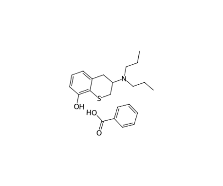 CCCN(CCC)C1CSc2c(O)cccc2C1.O=C(O)c1ccccc1